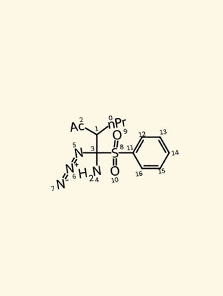 CCCC(C(C)=O)C(N)(N=[N+]=[N-])S(=O)(=O)c1ccccc1